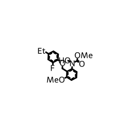 CCc1ccc(OCc2c(OC)cccc2N(O)C(=O)OC)c(F)c1